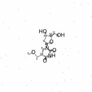 COCc1cn([C@H]2CC(O)[C@@H](CO)O2)c(=O)[nH]c1=O